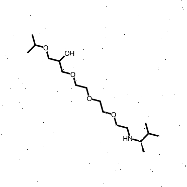 CC(C)OCC(O)COCCOCCOCCN[C@H](C)C(C)C